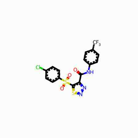 O=C(Nc1ccc(C(F)(F)F)cc1)c1nnsc1S(=O)(=O)c1ccc(Cl)cc1